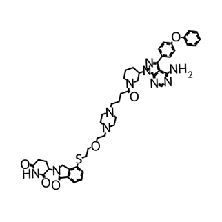 Nc1ncnc2c1c(-c1ccc(Oc3ccccc3)cc1)nn2C1CCCN(C(=O)CCCN2CCN(CCOCCSc3cccc4c3CN(C3CCC(=O)NC3=O)C4=O)CC2)C1